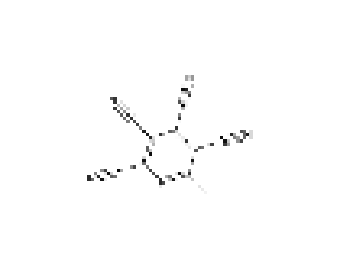 Cc1nc(C#N)c(C#N)c(C#N)c1C#N